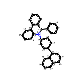 c1ccc(B2c3ccccc3-c3ccccc3N2c2ccc(-c3cccc4ccccc34)cc2)cc1